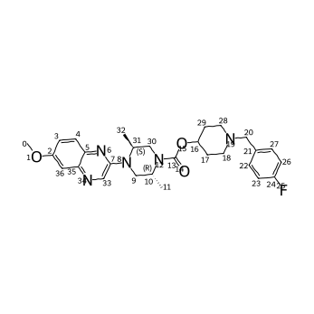 COc1ccc2nc(N3C[C@@H](C)N(C(=O)OC4CCN(Cc5ccc(F)cc5)CC4)C[C@@H]3C)cnc2c1